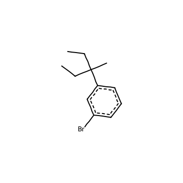 CCC(C)(CC)c1cccc(Br)c1